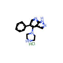 Cl.c1ccc(-c2cnc3[nH]ncc3c2N2CCNCC2)cc1